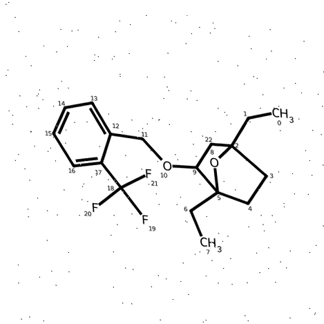 CCC12CCC(CC)(O1)C(OCc1ccccc1C(F)(F)F)C2